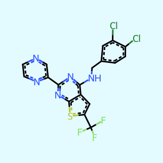 FC(F)(F)c1cc2c(NCc3ccc(Cl)c(Cl)c3)nc(-c3cnccn3)nc2s1